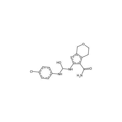 NC(=O)c1c(NC(O)Nc2ccc(Cl)cc2)sc2c1CCOC2